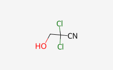 N#CC(Cl)(Cl)CO